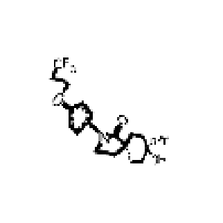 CCC[C@]1(O)CC[C@@]2(CCN(c3ccc(OCCC(F)(F)F)cc3)C2=O)CC1